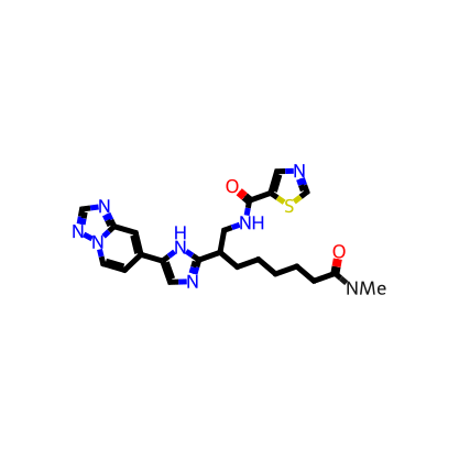 CNC(=O)CCCCCC(CNC(=O)c1cncs1)c1ncc(-c2ccn3ncnc3c2)[nH]1